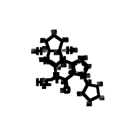 CN1C(=O)c2c(ncn2C2CCCC2)N2C1=N[C@H]1CCC[C@H]12